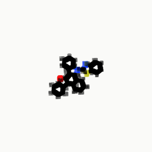 c1ccc2sc(-n3c4ccccc4c4c5oc6ccccc6c5c5ccccc5c43)nc2c1